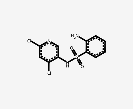 Nc1ccccc1S(=O)(=O)Nc1cnc(Cl)cc1Cl